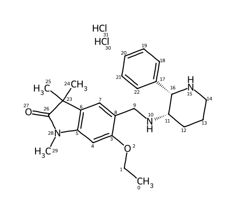 CCOc1cc2c(cc1CN[C@H]1CCCN[C@H]1c1ccccc1)C(C)(C)C(=O)N2C.Cl.Cl